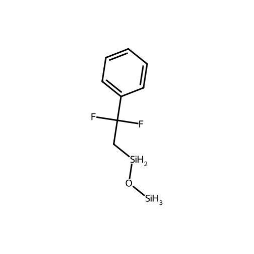 FC(F)(C[SiH2]O[SiH3])c1ccccc1